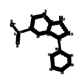 O=[N+]([O-])c1cnc2[nH]nc(-c3[c]cccc3)c2c1